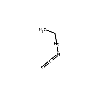 C[CH2][Hg][N]=C=S